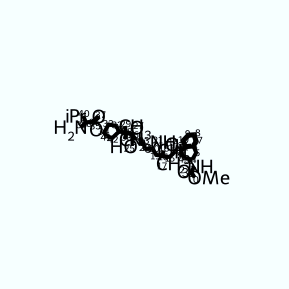 COC(=O)NC1Cc2ccccc2N(C(=O)CC(C)(C)C[C@H](N)CCN(O)C(=O)C(C)(C)C2CCC(OC(=O)C(N)C(C)C)CC2)C1